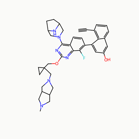 C#Cc1cccc2cc(O)cc(-c3ccc4c(N5CC6CCC(C5)N6)nc(OCC5(CN6CC7CN(C)CC7C6)CC5)nc4c3F)c12